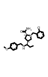 CCC(NCc1ccc(OC)cc1)[C@H]1C[C@@H](C(N)=O)N(Cc2ccccc2Cl)C1